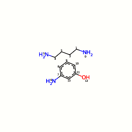 NCCCCN.Nc1cccc(O)c1